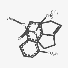 Cc1cnc2cccc(C(=O)O)c2c1/C1=C\[C@@H](C)CN(C(=O)OC(C)(C)C)CCC1